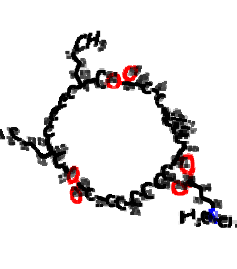 CCCCC1CCCCCCC(CCCC)CCOC(=O)CCCCCCCCCC(OC(=O)CCCN(C)C)CCCCCCCCCC(=O)OCC1